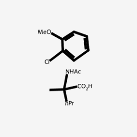 CCCC(C)(NC(C)=O)C(=O)O.COc1ccccc1Cl